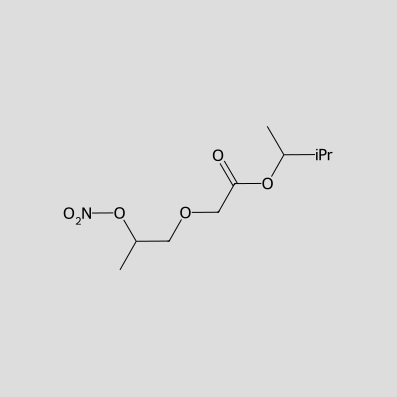 CC(COCC(=O)OC(C)C(C)C)O[N+](=O)[O-]